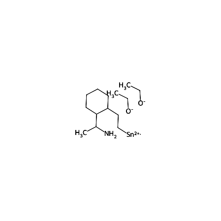 CC(N)C1CCCCC1C[CH2][Sn+2].CC[O-].CC[O-]